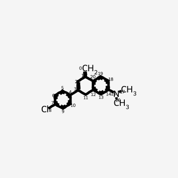 C=C1C=C(c2ccc(Cl)cc2)Cc2cc(N(C)C)ccc21